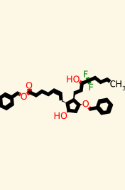 CCCCC(F)(F)C(O)CC[C@@H]1[C@@H](C/C=C\CCCC(=O)OCc2ccccc2)[C@@H](O)C[C@H]1OCc1ccccc1